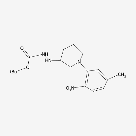 Cc1ccc([N+](=O)[O-])c(N2CCCC(NNC(=O)OC(C)(C)C)C2)c1